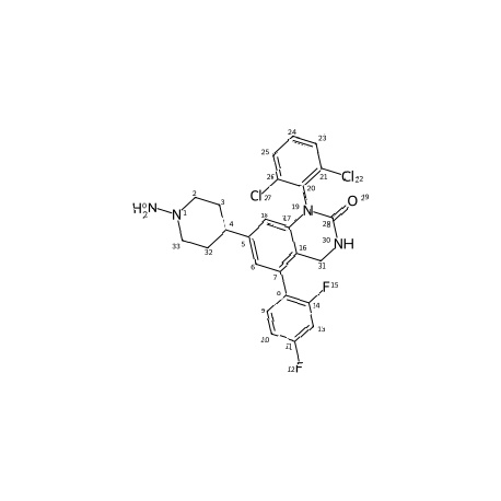 NN1CCC(c2cc(-c3ccc(F)cc3F)c3c(c2)N(c2c(Cl)cccc2Cl)C(=O)NC3)CC1